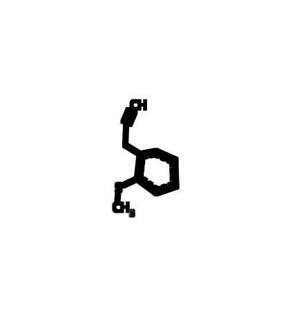 C#CCc1ccccc1SC